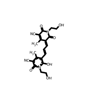 CC1=C(C#N)C(=O)N(CCO)C(=O)C1=CC=Cc1c(C)c(C#N)c(=O)n(CCO)c1O